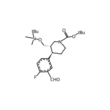 CC(C)(C)OC(=O)N1CC[C@@H](c2ccc(F)c(C=O)c2)[C@H](CO[Si](C)(C)C(C)(C)C)C1